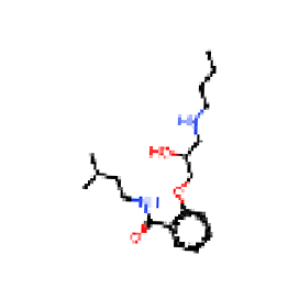 CCCCNCC(O)COc1ccccc1C(=O)NCCC(C)C